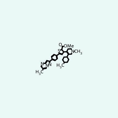 COC(=O)C1SC(c2ccc(-c3cc4ncc(C)cn4n3)cc2)=CC1C1=C(C2CCC(C)CC2)CN(C)CC1